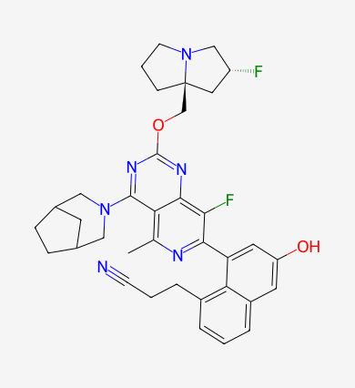 Cc1nc(-c2cc(O)cc3cccc(CCC#N)c23)c(F)c2nc(OC[C@@]34CCCN3C[C@H](F)C4)nc(N3CC4CCC(C4)C3)c12